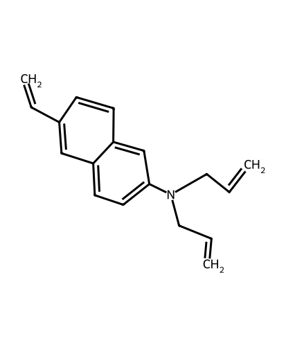 C=CCN(CC=C)c1ccc2cc(C=C)ccc2c1